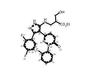 CCOC(=O)C(CO)CNc1[nH]nc(-c2ccc(F)cc2F)c1-c1ccc(=O)n(-c2ccccc2C)n1